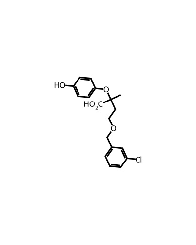 CC(CCOCc1cccc(Cl)c1)(Oc1ccc(O)cc1)C(=O)O